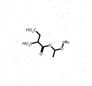 CCCCOC(C)OC(=O)C(CC(=O)O)S(=O)(=O)O